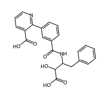 O=C(NC(Cc1ccccc1)C(O)C(=O)O)c1cccc(-c2ncccc2C(=O)O)c1